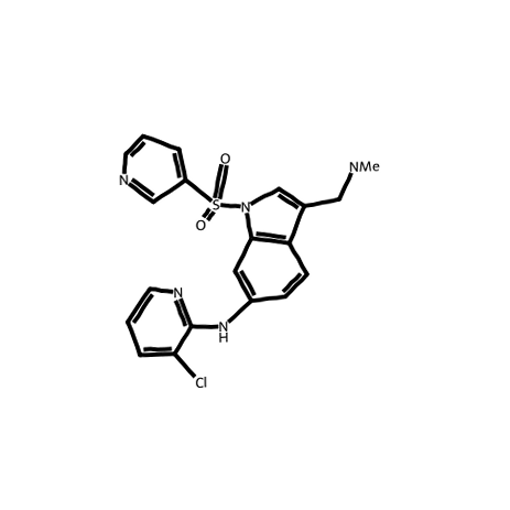 CNCc1cn(S(=O)(=O)c2cccnc2)c2cc(Nc3ncccc3Cl)ccc12